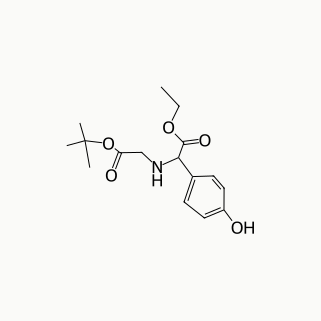 CCOC(=O)C(NCC(=O)OC(C)(C)C)c1ccc(O)cc1